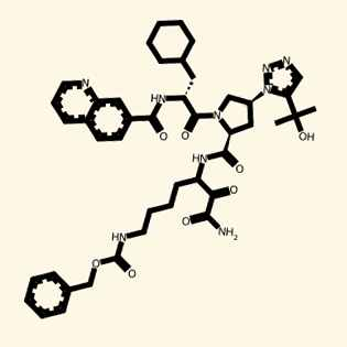 CC(C)(O)c1cnnn1[C@H]1C[C@@H](C(=O)NC(CCCCNC(=O)OCc2ccccc2)C(=O)C(N)=O)N(C(=O)[C@@H](CC2CCCCC2)NC(=O)c2ccc3cccnc3c2)C1